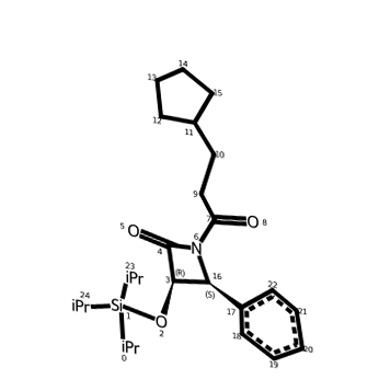 CC(C)[Si](O[C@H]1C(=O)N(C(=O)CCC2CCCC2)[C@H]1c1ccccc1)(C(C)C)C(C)C